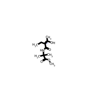 CC/C(C(=O)NC(C)(C)C(=O)OC)=C(\C)O